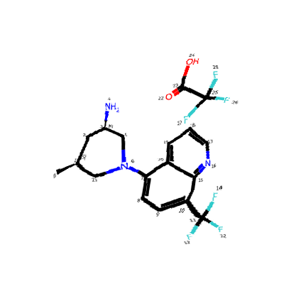 C[C@H]1C[C@@H](N)CN(c2ccc(C(F)(F)F)c3ncccc23)C1.O=C(O)C(F)(F)F